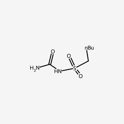 CCCCCS(=O)(=O)NC(N)=O